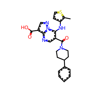 Cc1sccc1Nc1c(C(=O)N2CCC(c3ccccc3)CC2)cnc2c(C(=O)O)cnn12